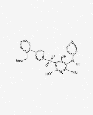 CCCCc1nc(O)c(S(=O)(=O)c2ccc(-c3ccccc3COC)cc2)c(O)c1N(CC)c1ccccc1